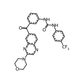 O=C(Nc1ccc(C(F)(F)F)cc1)Nc1cccc(C(=O)c2ccc3ncc(N4CCOCC4)nc3c2)c1